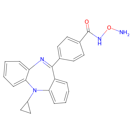 NONC(=O)c1ccc(C2=Nc3ccccc3N(C3CC3)c3ccccc32)cc1